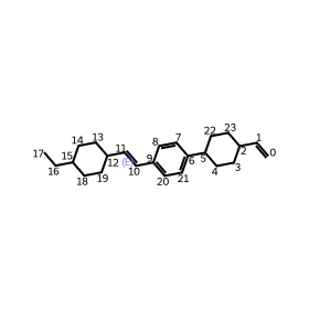 C=CC1CCC(c2ccc(/C=C/C3CCC(CC)CC3)cc2)CC1